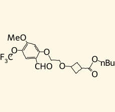 CCCCOC(=O)C1CC(OCCOc2cc(OC)c(OC(F)(F)F)cc2C=O)C1